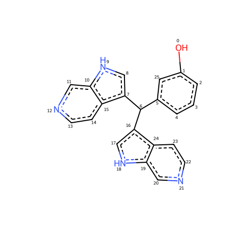 Oc1cccc(C(c2c[nH]c3cnccc23)c2c[nH]c3cnccc23)c1